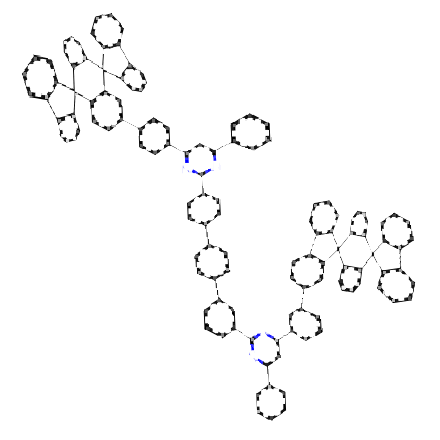 c1ccc(-c2cc(-c3ccc(-c4ccc5c(c4)C4(c6ccccc6-c6ccccc64)c4ccccc4C54c5ccccc5-c5ccccc54)cc3)nc(-c3ccc(-c4ccc(-c5cccc(-c6nc(-c7ccccc7)cc(-c7cccc(-c8ccc9c(c8)C8(c%10ccccc%10-9)c9ccccc9C9(c%10ccccc%10-c%10ccccc%109)c9ccccc98)c7)n6)c5)cc4)cc3)n2)cc1